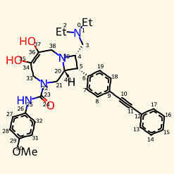 CCN(CC)C[C@@H]1[C@H](c2ccc(C#Cc3ccccc3)cc2)[C@@H]2CN(C(=O)Nc3ccc(OC)cc3)C/C(O)=C(/O)CN12